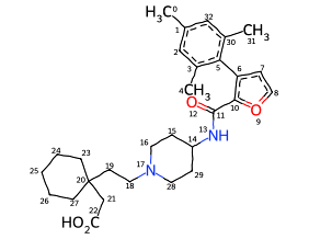 Cc1cc(C)c(-c2ccoc2C(=O)NC2CCN(CCC3(CC(=O)O)CCCCC3)CC2)c(C)c1